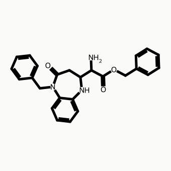 NC(C(=O)OCc1ccccc1)C1CC(=O)N(Cc2ccccc2)c2ccccc2N1